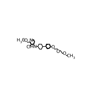 CCOCCOCCOc1ccc(C2CCC(Nc3ccnc(COC)c3Cl)CC2)cc1